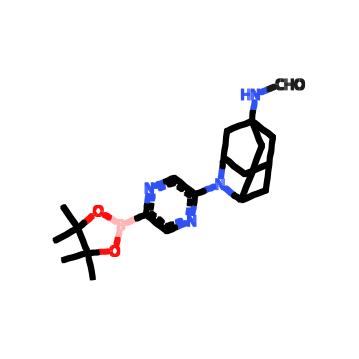 CC1(C)OB(c2cnc(N3C4CC5CC3CC(NC=O)(C5)C4)cn2)OC1(C)C